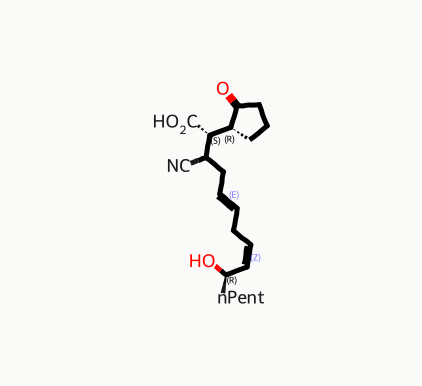 CCCCC[C@@H](O)/C=C\C/C=C/CC(C#N)[C@H](C(=O)O)[C@H]1CCCC1=O